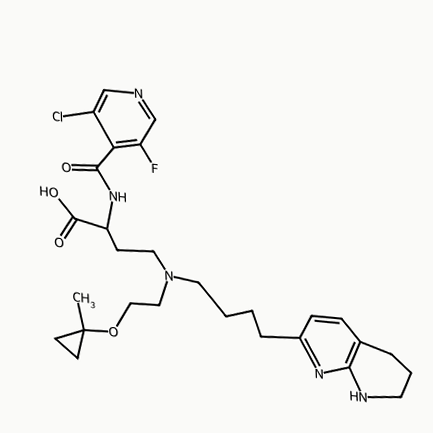 CC1(OCCN(CCCCc2ccc3c(n2)NCCC3)CCC(NC(=O)c2c(F)cncc2Cl)C(=O)O)CC1